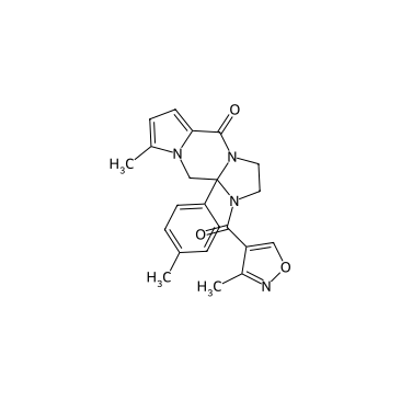 Cc1ccc(C23Cn4c(C)ccc4C(=O)N2CCN3C(=O)c2conc2C)cc1